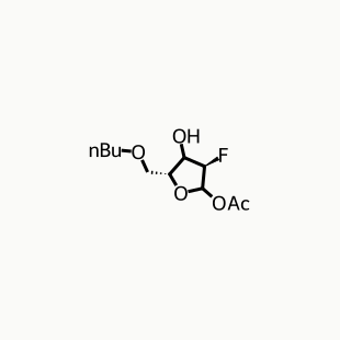 CCCCOC[C@H]1OC(OC(C)=O)[C@H](F)C1O